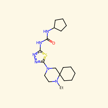 CCN1CCN(c2nnc(NC(=O)NC3CCCC3)s2)CC12CCCCC2